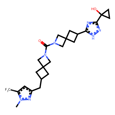 Cn1nc(CC2CC3(C2)CN(C(=O)N2CC4(CC(c5nc(C6(O)CC6)n[nH]5)C4)C2)C3)cc1C(F)(F)F